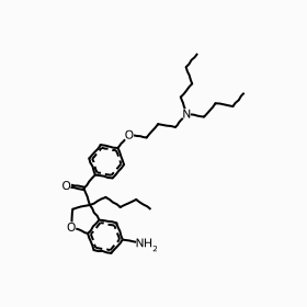 CCCCN(CCCC)CCCOc1ccc(C(=O)C2(CCCC)COc3ccc(N)cc32)cc1